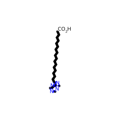 O=C(O)CCCCCCCCCCCCCCCCCC1N2CN3CN(C2)CN1C3